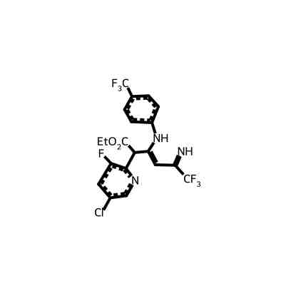 CCOC(=O)C(/C(=C/C(=N)C(F)(F)F)Nc1ccc(C(F)(F)F)cc1)c1ncc(Cl)cc1F